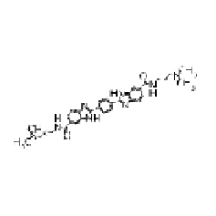 CN(C)CCCNC(=O)c1ccc2nc(-c3ccc(-c4nc5ccc(C(=O)NCCCN(C)C)cc5[nH]4)cc3)[nH]c2c1